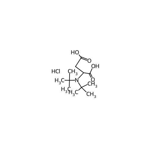 CC(C)(C)N(C(CC(=O)O)C(=O)O)C(C)(C)C.Cl